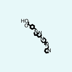 O=C(CO)c1ccc(Cn2ccc3cc(N4CCC5(CC4)CN(Cc4ccccn4)C5)cnc32)cc1